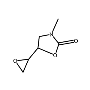 CN1CC(C2CO2)OC1=O